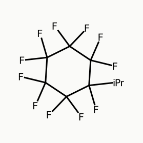 CC(C)C1(F)C(F)(F)C(F)(F)C(F)(F)C(F)(F)C1(F)F